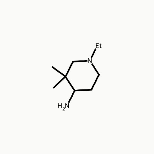 CCN1CCC(N)C(C)(C)C1